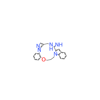 N=C1NCc2cnn(c2)-c2ccccc2OCCCn2c1cc1ccccc12